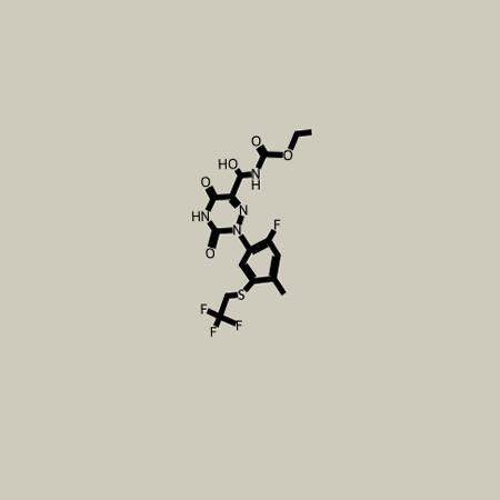 CCOC(=O)NC(O)c1nn(-c2cc(SCC(F)(F)F)c(C)cc2F)c(=O)[nH]c1=O